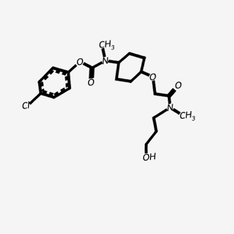 CN(CCCO)C(=O)COC1CCC(N(C)C(=O)Oc2ccc(Cl)cc2)CC1